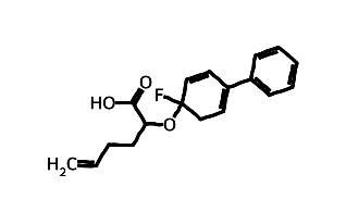 C=CCCC(OC1(F)C=CC(c2ccccc2)=CC1)C(=O)O